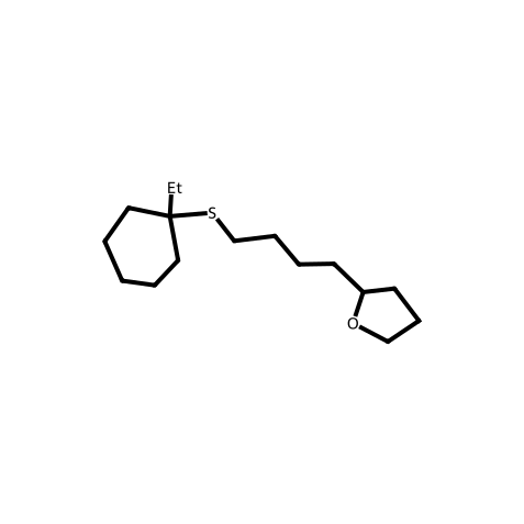 CCC1(SCCCCC2CCCO2)CCCCC1